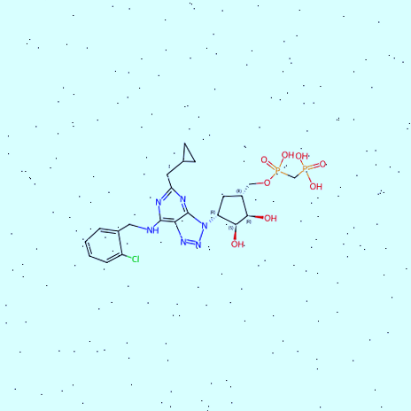 O=P(O)(O)CP(=O)(O)OC[C@H]1C[C@@H](n2nnc3c(NCc4ccccc4Cl)nc(CC4CC4)nc32)[C@H](O)[C@@H]1O